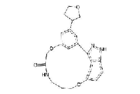 O=C1COc2cc(cc(C3CCOC3)c2)-c2n[nH]c3ccc(cc23)OCCCN1